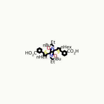 CCCCCCc1cc(C2=C3C(=O)N(CC(CC)CCCC)C(c4cc(CCCCCC)c(-c5cccc(C(=O)O)c5)s4)=C3C(=O)N2CC(CC)CCCC)sc1-c1cccc(C(=O)O)c1